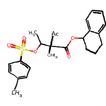 CC(=O)C(C)(C(=O)OC1CCCc2ccccc21)C(C)OS(=O)(=O)c1ccc(C)cc1